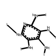 INc1nc(NI)c(NI)c(NI)c1NI